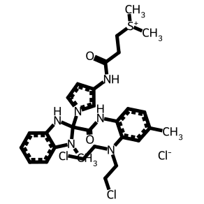 Cc1ccc(NC(=O)C2(n3ccc(NC(=O)CC[S+](C)C)c3)Nc3ccccc3N2C)c(N(CCCl)CCCl)c1.[Cl-]